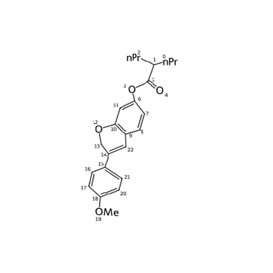 CCCC(CCC)C(=O)Oc1ccc2c(c1)OCC(c1ccc(OC)cc1)=C2